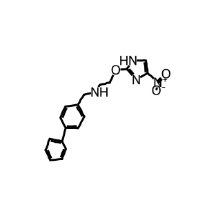 O=[N+]([O-])c1c[nH]c(OCCNCc2ccc(-c3ccccc3)cc2)n1